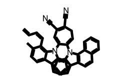 C=C/C=C\c1c(C)ccc2c3ccccc3n(C3=CC(C#N)=C(C#N)CC=C3n3c4ccccc4c4ccc5ccccc5c43)c12